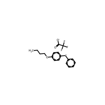 CCCCOc1ccc([I+]c2ccccc2)cc1.O=C([O-])C(F)(F)F